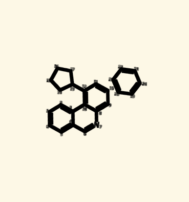 c1ccc2c(c1)cnc1cccc(C3CCCC3)c12.c1ccccc1